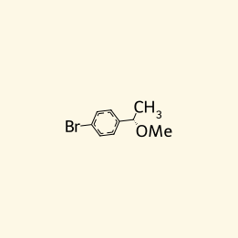 CO[C@@H](C)c1ccc(Br)cc1